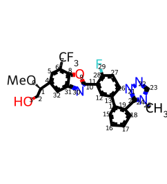 CO[C@H](CO)c1cc(C(F)(F)F)c2oc(-c3cc(-c4ccccc4-c4nncn4C)ccc3F)nc2c1